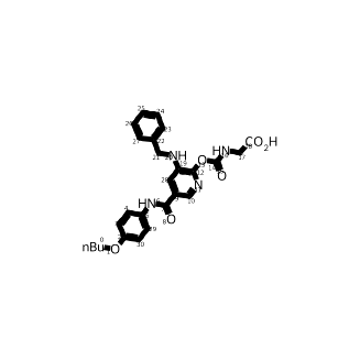 CCCCOc1ccc(NC(=O)c2cnc(OC(=O)NCC(=O)O)c(NCc3ccccc3)c2)cc1